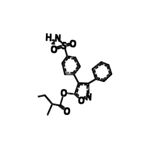 CCC(C)C(=O)Oc1onc(-c2ccccc2)c1-c1ccc(S(N)(=O)=O)cc1